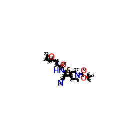 CC(C)(C)OC(=O)N1CCc2c(sc(NC(=O)/C=C/c3ccco3)c2C#N)C1